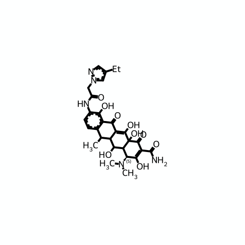 CCc1cnn(CC(=O)Nc2ccc3c(c2O)C(=O)C2=C(O)C4(O)C(=O)C(C(N)=O)=C(O)[C@@H](N(C)C)C4C(O)C2C3C)c1